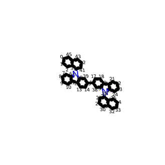 c1ccc2c(-n3c4ccccc4c4ccc(-c5ccc6c7ccccc7n(-c7cccc8ccccc78)c6c5)cc43)cccc2c1